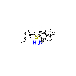 CCCCC(CC)CSc1ccc(C(C)(C)C)cc1N